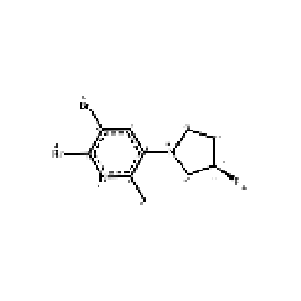 Cc1nc(Br)c(Br)cc1N1CC[C@@H](F)C1